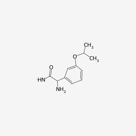 CC(C)Oc1cccc(C(N)C([NH])=O)c1